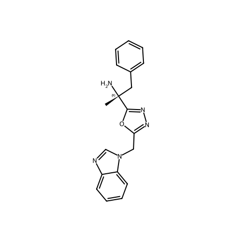 C[C@@](N)(Cc1ccccc1)c1nnc(Cn2cnc3ccccc32)o1